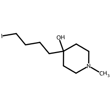 CN1CCC(O)(CCCCI)CC1